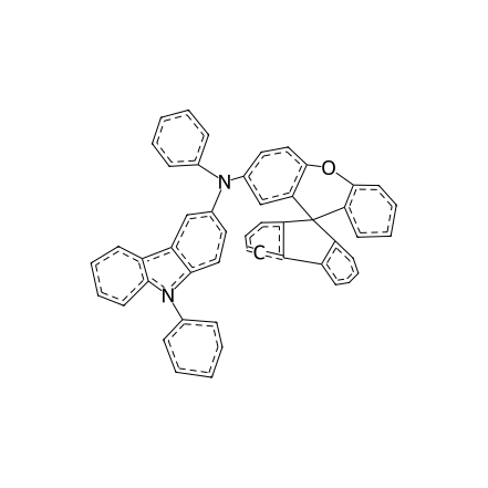 c1ccc(N(c2ccc3c(c2)C2(c4ccccc4O3)c3ccccc3-c3ccccc32)c2ccc3c(c2)c2ccccc2n3-c2ccccc2)cc1